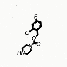 O=C(OCc1ccc(F)cc1Cl)N1CCNCC1